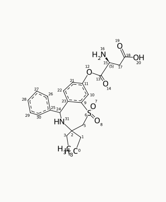 CCC1(CC)CS(=O)(=O)c2cc(OC(=O)[C@@H](N)CC(=O)O)ccc2C(c2ccccc2)N1